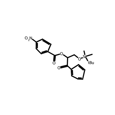 CC(C)(C)[Si](C)(C)OCC(OC(=O)c1ccc([N+](=O)[O-])cc1)C(=O)c1ccccc1